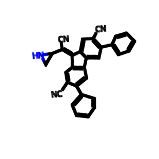 N#CC(=C1c2cc(C#N)c(-c3ccccc3)cc2-c2cc(-c3ccccc3)c(C#N)cc21)C1CN1